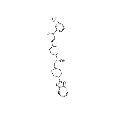 Cc1cccc(C(=O)C=CN2CCC(C(O)CN3CCC(c4nc5ccccc5o4)CC3)CC2)c1